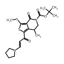 CSc1sc(C(=O)/C=C/N2CCCC2)c2c1C(=O)N(C(=O)OC(C)(C)C)CC2C